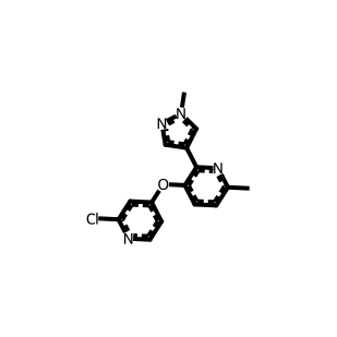 Cc1ccc(Oc2ccnc(Cl)c2)c(-c2cnn(C)c2)n1